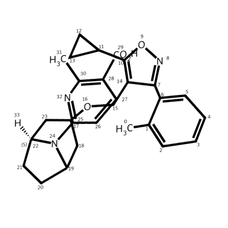 Cc1ccccc1-c1noc(C2CC2)c1COC1CC2CC[C@@H](C1)N2c1ccc(C(=O)O)c(C)n1